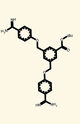 CC(C)(C)OC(=O)c1cc(COc2ccc(C(=N)N)cc2)cc(COc2ccc(C(=N)N)cc2)c1